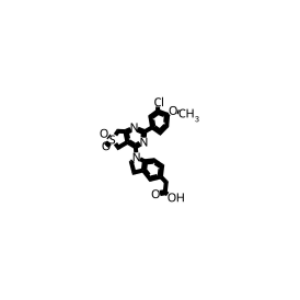 COc1ccc(-c2nc3c(c(N4CCc5cc(CC(=O)O)ccc54)n2)CS(=O)(=O)C3)cc1Cl